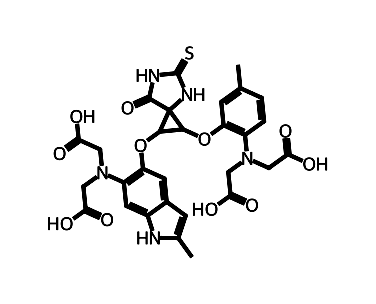 Cc1ccc(N(CC(=O)O)CC(=O)O)c(OC2C(Oc3cc4cc(C)[nH]c4cc3N(CC(=O)O)CC(=O)O)C23NC(=S)NC3=O)c1